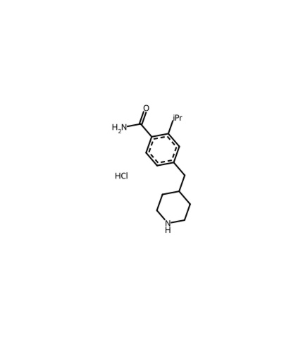 CC(C)c1cc(CC2CCNCC2)ccc1C(N)=O.Cl